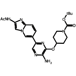 CC(=O)Nc1cn2cc(-c3cnc(N)c(OC4CCN(C(=O)OC(C)(C)C)CC4)n3)ccc2n1